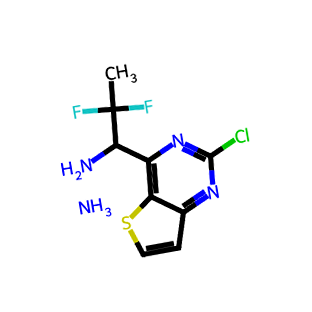 CC(F)(F)C(N)c1nc(Cl)nc2ccsc12.N